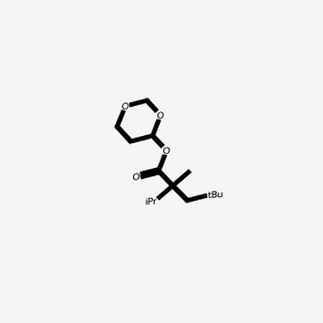 CC(C)C(C)(CC(C)(C)C)C(=O)OC1CCOCO1